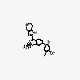 CCc1cc(O)c(F)cc1-c1ccc2c(-c3nc4c([nH]3)CCNC4)n[nH]c2c1.Cl.Cl